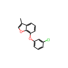 Cc1coc2c(Oc3cc[c]c(Cl)c3)cccc12